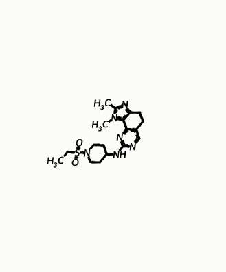 CCS(=O)(=O)N1CCC(Nc2ncc3c(n2)-c2c(nc(C)n2C)CC3)CC1